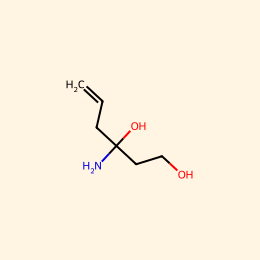 C=CCC(N)(O)CCO